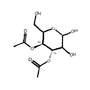 CC(=O)O[C@H]1C(CO)OC(O)C(O)[C@@H]1OC(C)=O